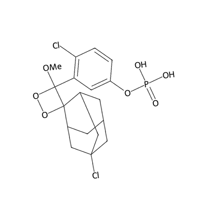 COC1(c2cc(OP(=O)(O)O)ccc2Cl)OOC12C1CC3CC2CC(Cl)(C3)C1